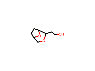 OCCC1OCC2CCC1O2